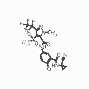 Cn1nc(C(F)(F)C(F)(F)F)c(S(C)(=O)=O)c1C(=O)Nc1ccc(Cl)c(C(=O)NC2(C#N)CC2)c1